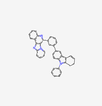 C1=Cc2c(n(-c3ccccc3)c3ccc(-c4cccc(-c5nc6ccccc6c6nc7ccccn7c56)c4)cc23)CC1